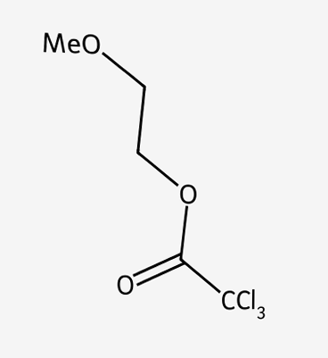 COCCOC(=O)C(Cl)(Cl)Cl